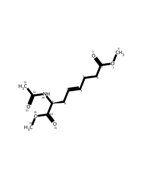 COC(=O)CCC=CC[C@H](NC(C)=O)C(=O)OC